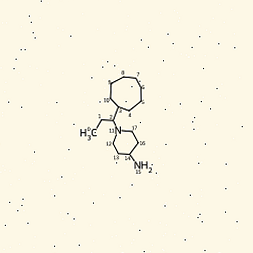 CCC(C1CCCCCCC1)N1CCC(N)CC1